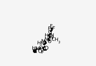 Cn1nc(OCC(F)(F)F)cc1C(=O)Nc1cc([C@@H]2OC[C@H](F)[C@H]2OC(=O)NC23CC(C2)C3)[nH]n1